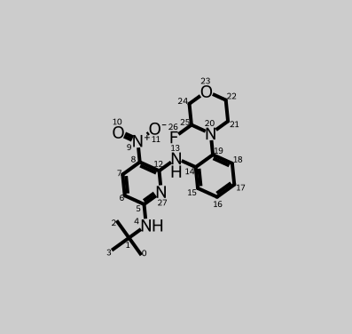 CC(C)(C)Nc1ccc([N+](=O)[O-])c(Nc2ccccc2N2CCOCC2F)n1